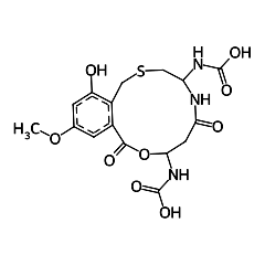 COc1cc(O)c2c(c1)C(=O)OC(NC(=O)O)CC(=O)NC(NC(=O)O)CSC2